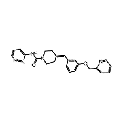 O=C(Nc1cccnn1)N1CCC(=Cc2cccc(OCc3ccccn3)c2)CC1